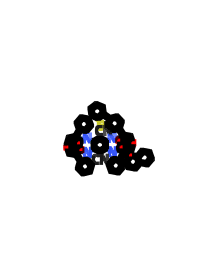 N#Cc1c(-n2c3ccccc3c3ccccc32)c(-n2c3ccccc3c3ccccc32)c(C#N)c(-n2c3cc(-c4cccc5ccccc45)ccc3c3ccc4c5ccccc5sc4c32)c1-n1c2ccccc2c2ccccc21